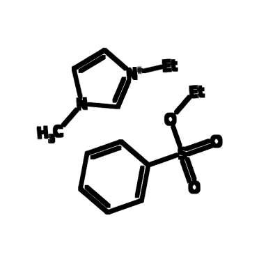 CCOS(=O)(=O)c1ccccc1.CC[n+]1ccn(C)c1